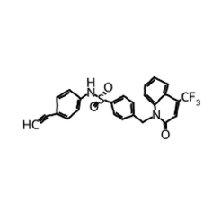 C#Cc1ccc(NS(=O)(=O)c2ccc(Cn3c(=O)cc(C(F)(F)F)c4ccccc43)cc2)cc1